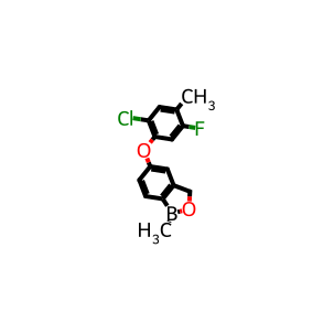 CB1OCc2cc(Oc3cc(F)c(C)cc3Cl)ccc21